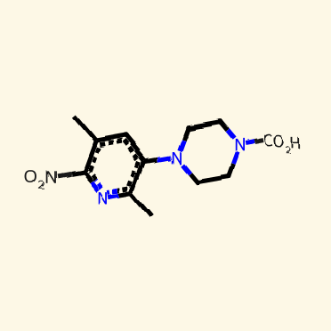 Cc1cc(N2CCN(C(=O)O)CC2)c(C)nc1[N+](=O)[O-]